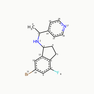 CC(NC1CCc2c(F)cc(Br)cc21)c1ccncc1